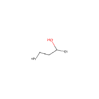 [CH2]CCCCC(O)CC